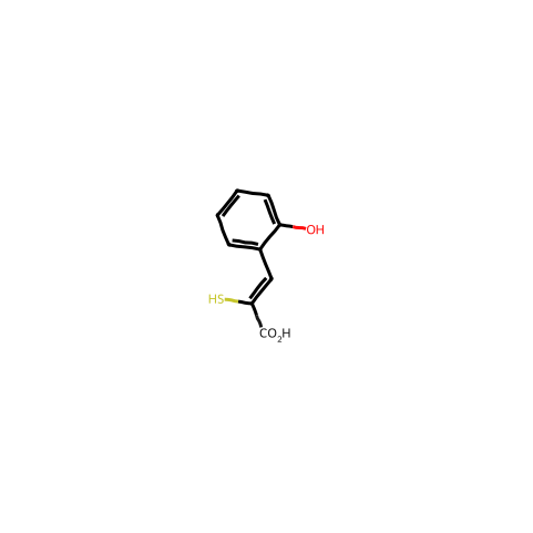 O=C(O)C(S)=Cc1ccccc1O